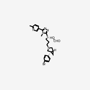 Cc1ccc(-c2nnc(SCCCN3C[C@H]4C[C@@]4(c4ccc(Br)cc4)C3)n2C)cn1.O=CO